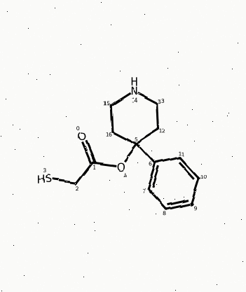 O=C(CS)OC1(c2ccccc2)CCNCC1